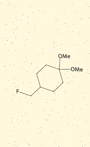 COC1(OC)CCC(CF)CC1